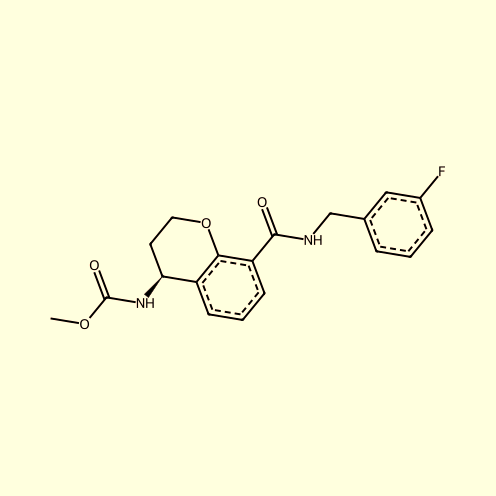 COC(=O)N[C@H]1CCOc2c(C(=O)NCc3cccc(F)c3)cccc21